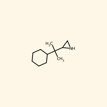 CC(C)(C1CCCCC1)C1CN1